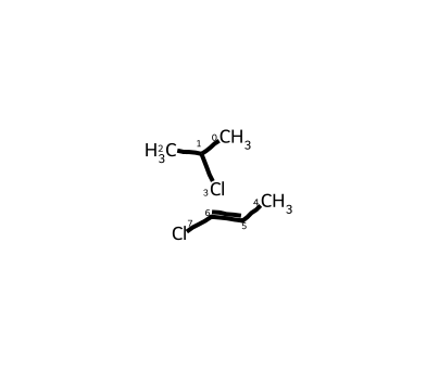 CC(C)Cl.CC=CCl